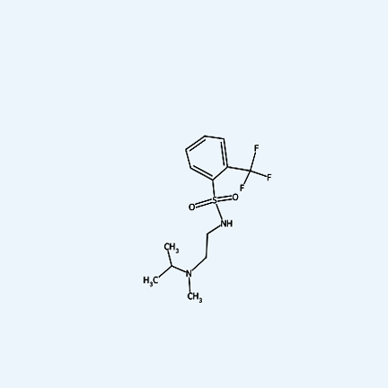 CC(C)N(C)CCNS(=O)(=O)c1ccccc1C(F)(F)F